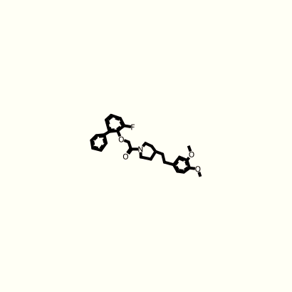 COc1ccc(CCC2CCN(C(=O)COc3c(F)cccc3-c3ccccc3)CC2)cc1OC